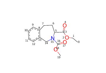 CCOC(=O)C1CCc2ccccc2CN1C(=O)OC